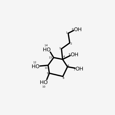 OCCCC1(O)C(O)CC(O)C(O)C1O